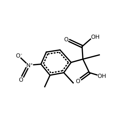 Cc1c([N+](=O)[O-])ccc(C(C)(C(=O)O)C(=O)O)c1C